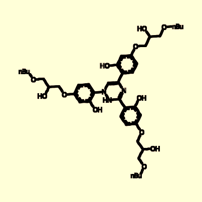 CCCCOCC(O)COc1ccc(C2=CN(c3ccc(OCC(O)COCCCC)cc3O)NC(c3ccc(OCC(O)COCCCC)cc3O)=N2)c(O)c1